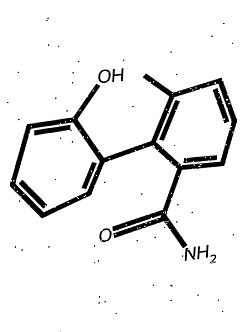 Cc1cccc(C(N)=O)c1-c1ccccc1O